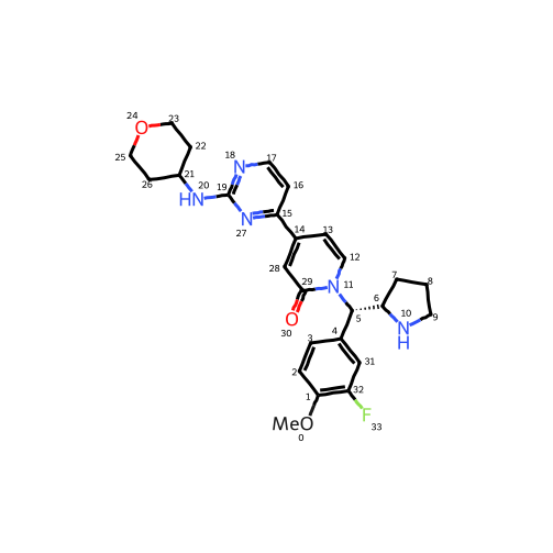 COc1ccc([C@@H](C2CCCN2)n2ccc(-c3ccnc(NC4CCOCC4)n3)cc2=O)cc1F